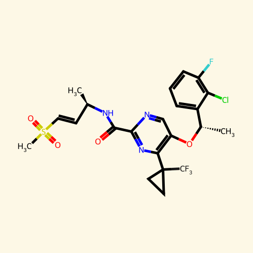 C[C@H](/C=C/S(C)(=O)=O)NC(=O)c1ncc(O[C@@H](C)c2cccc(F)c2Cl)c(C2(C(F)(F)F)CC2)n1